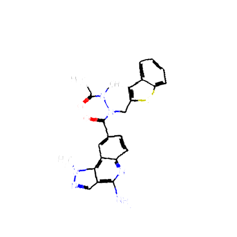 CC(=O)N(C)N(Cc1cc2ccccc2s1)C(=O)c1ccc2nc(N)c3cnn(C)c3c2c1